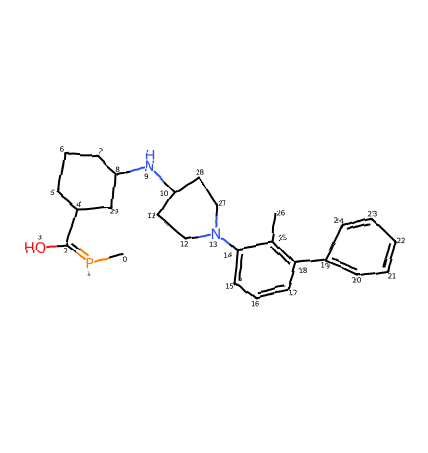 C/P=C(/O)C1CCCC(NC2CCN(c3cccc(-c4ccccc4)c3C)CC2)C1